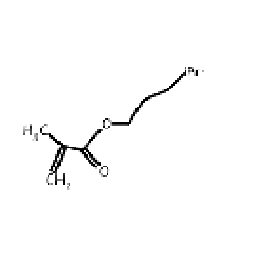 C=C(C)C(=O)OCCC[C](C)C